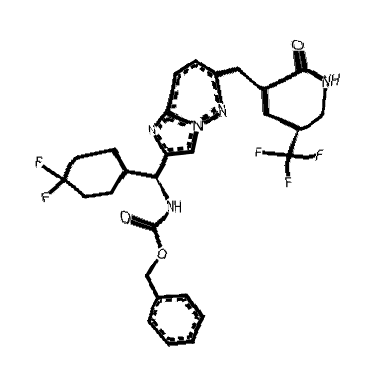 O=C(N[C@H](c1cn2nc(CC3C[C@H](C(F)(F)F)CNC3=O)ccc2n1)C1CCC(F)(F)CC1)OCc1ccccc1